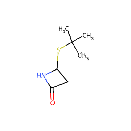 CC(C)(C)SC1CC(=O)N1